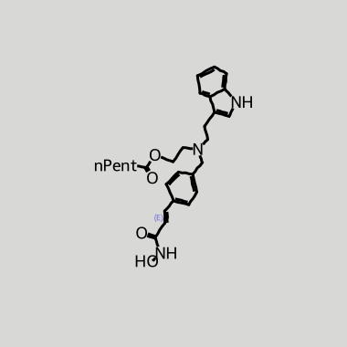 CCCCCC(=O)OCCN(CCc1c[nH]c2ccccc12)Cc1ccc(/C=C/C(=O)NO)cc1